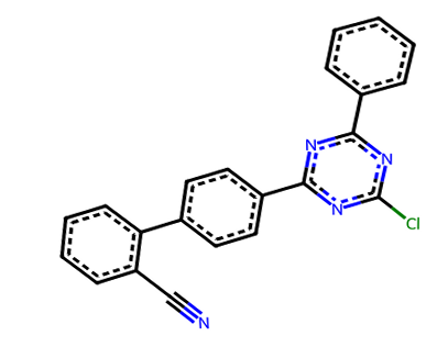 N#Cc1ccccc1-c1ccc(-c2nc(Cl)nc(-c3ccccc3)n2)cc1